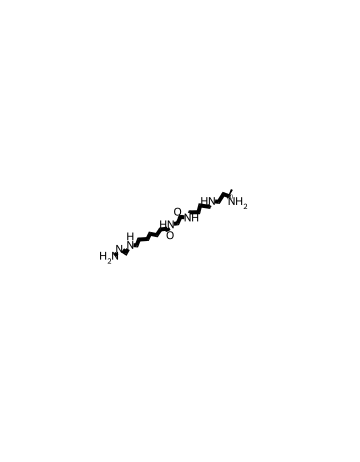 C[C@@H](N)CCNCCCCNC(=O)CNC(=O)CCCCCCNC=NN